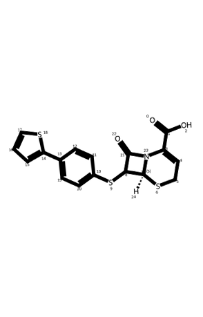 O=C(O)C1=CCS[C@H]2C(Sc3ccc(-c4cccs4)cc3)C(=O)N12